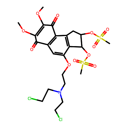 COC1=C(OC)C(=O)c2c(cc(OCCN(CCCl)CCCl)c3c2CC(OS(C)(=O)=O)C3OS(C)(=O)=O)C1=O